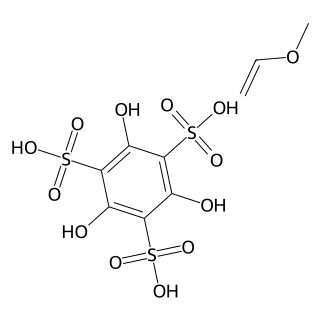 C=COC.O=S(=O)(O)c1c(O)c(S(=O)(=O)O)c(O)c(S(=O)(=O)O)c1O